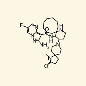 CN1C(=O)CCC12CCN(C1CCNC3(CCCCCCCC3)C1NC(=O)c1c(N)nn3cc(F)cnc13)CC2